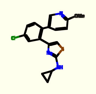 COc1ccc(-c2ccc(Cl)cc2-c2csc(NC3CC3)n2)cn1